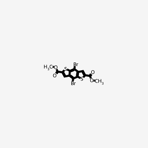 COC(=O)c1cc2c(Br)c3sc(C(=O)OC)cc3c(Br)c2s1